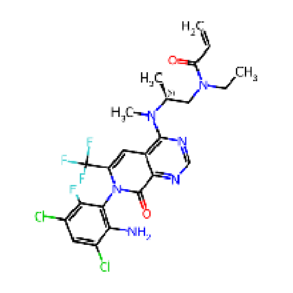 C=CC(=O)N(CC)C[C@H](C)N(C)c1ncnc2c(=O)n(-c3c(N)c(Cl)cc(Cl)c3F)c(C(F)(F)F)cc12